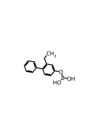 CCc1cc(OB(O)O)ccc1-c1ccccc1